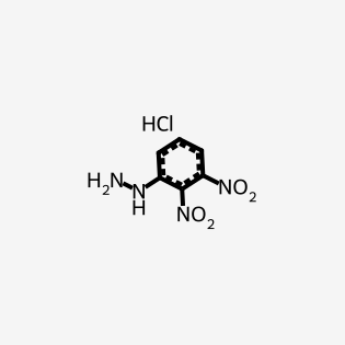 Cl.NNc1cccc([N+](=O)[O-])c1[N+](=O)[O-]